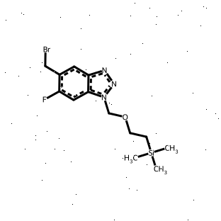 C[Si](C)(C)CCOCn1nnc2cc(CBr)c(F)cc21